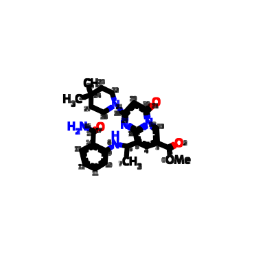 COC(=O)c1cc(C(C)Nc2ccccc2C(N)=O)c2nc(N3CCC(C)(C)CC3)cc(=O)n2c1